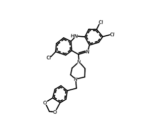 Clc1ccc2c(c1)C(N1CCN(Cc3ccc4c(c3)OCO4)CC1)=Nc1cc(Cl)c(Cl)cc1N2